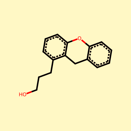 OCCCc1cccc2c1Cc1ccccc1O2